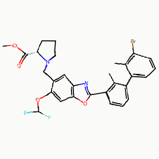 COC(=O)[C@@H]1CCCN1Cc1cc2nc(-c3cccc(-c4cccc(Br)c4C)c3C)oc2cc1OC(F)F